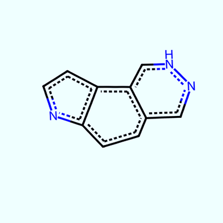 c1cc2c(ccc3cn[nH]cc32)n1